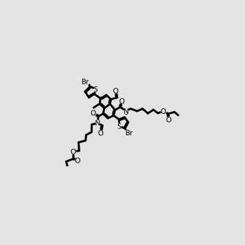 CCC(=O)OCCCCCCN(C)C(=O)c1c(-c2ccc(Br)s2)cc(C(=O)N(C=O)CCCCCCOC(=O)CC)c2c(C)c(-c3ccc(Br)s3)cc(C=O)c12